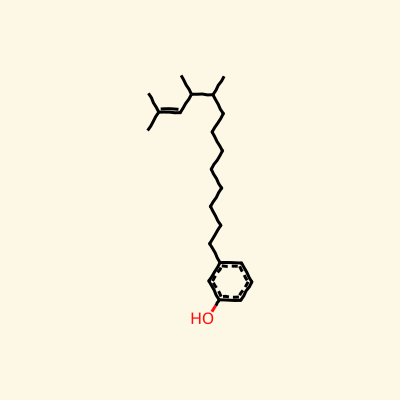 CC(C)=CC(C)C(C)CCCCCCCCc1cccc(O)c1